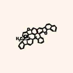 CC1(C)c2ccccc2-c2ccc(N(c3ccccc3-c3cccc4c3oc3c5ccccc5ccc43)c3cccc4oc5ccccc5c34)cc21